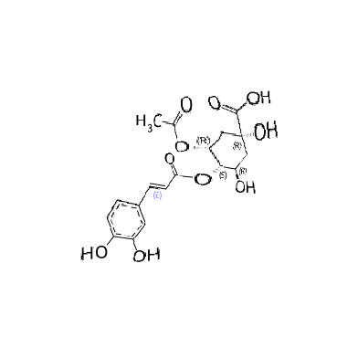 CC(=O)O[C@@H]1C[C@@](O)(C(=O)O)C[C@@H](O)[C@@H]1OC(=O)/C=C/c1ccc(O)c(O)c1